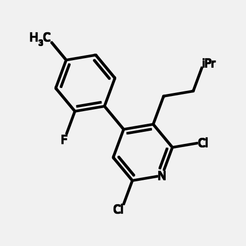 Cc1ccc(-c2cc(Cl)nc(Cl)c2CCC(C)C)c(F)c1